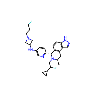 C[C@@H]1Cc2c(ccc3[nH]ncc23)[C@@H](c2ccc(NC3CN(CCCF)C3)cn2)N1CC(F)C1CC1